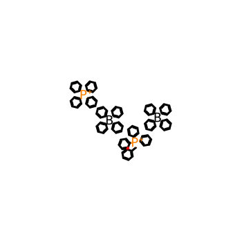 c1ccc(C[P+](c2ccccc2)(c2ccccc2)c2ccccc2)cc1.c1ccc([B-](c2ccccc2)(c2ccccc2)c2ccccc2)cc1.c1ccc([B-](c2ccccc2)(c2ccccc2)c2ccccc2)cc1.c1ccc([P+](c2ccccc2)(c2ccccc2)c2ccccc2)cc1